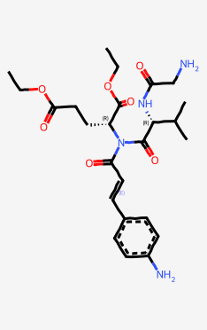 CCOC(=O)CC[C@H](C(=O)OCC)N(C(=O)/C=C/c1ccc(N)cc1)C(=O)[C@H](NC(=O)CN)C(C)C